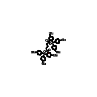 CC(C)(C)c1ccc(S(OS(=O)(=O)CCCS(=O)(=O)OS(c2ccc(C(C)(C)C)cc2)(c2ccc(C(C)(C)C)cc2)c2ccc(C(C)(C)C)cc2)(c2ccc(C(C)(C)C)cc2)c2ccc(C(C)(C)C)cc2)cc1